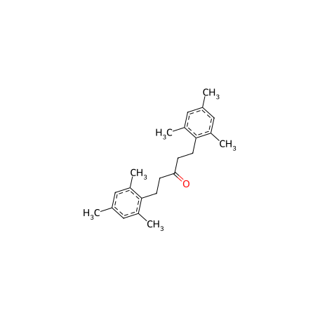 Cc1cc(C)c(CCC(=O)CCc2c(C)cc(C)cc2C)c(C)c1